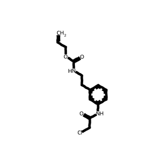 C=CCOC(=O)NCCc1cccc(NC(=O)CCl)c1